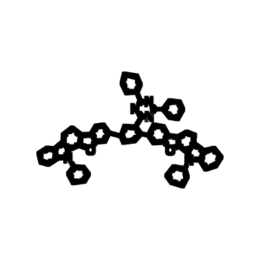 c1ccc(-c2nc(-c3ccccc3)nc(-c3cc(-c4ccc5c(c4)oc4c5ccc5c6ccccc6n(-c6ccccc6)c54)ccc3-c3ccc4c(c3)oc3c4ccc4c5ccccc5n(-c5ccccc5)c43)n2)cc1